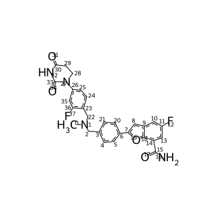 CN(Cc1ccc(-c2cc3cc(F)cc(C(N)=O)c3o2)cc1)Cc1ccc(N2CCC(=O)NC2=O)cc1F